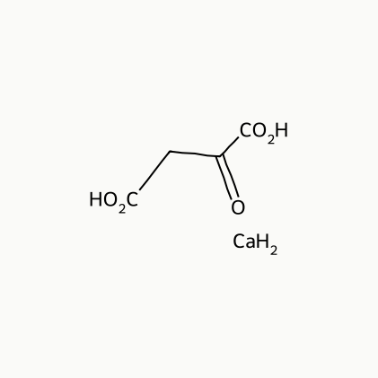 O=C(O)CC(=O)C(=O)O.[CaH2]